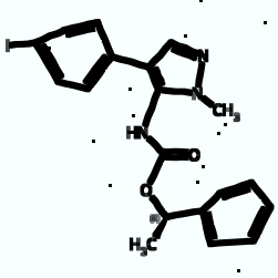 C[C@@H](OC(=O)Nc1c(-c2ccc(I)cc2)cnn1C)c1ccccc1